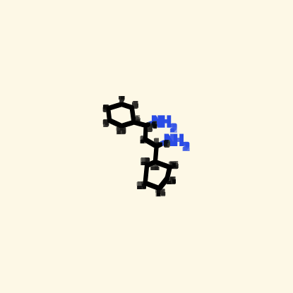 NC(CC(N)C1CCCCC1)C1CCCCC1